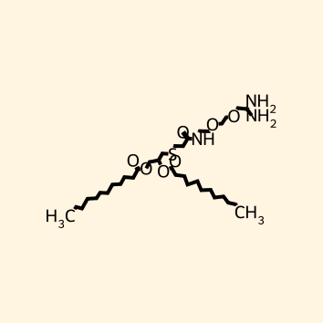 CCCCCCCCCCCC(=O)OCC(CSCCC(=O)NCCOCCOCC(N)N)OC(=O)CCCCCCCCCCC